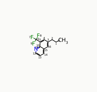 CCCc1cc(C(F)(F)F)c2ncccc2c1